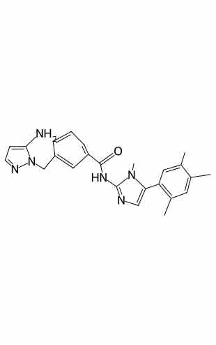 Cc1cc(C)c(-c2cnc(NC(=O)c3cccc(Cn4nccc4N)c3)n2C)cc1C